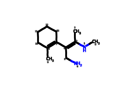 CN/C(C)=C(\CN)C1=C(C)CCCC1